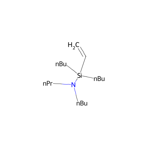 C=C[Si](CCCC)(CCCC)N(CCC)CCCC